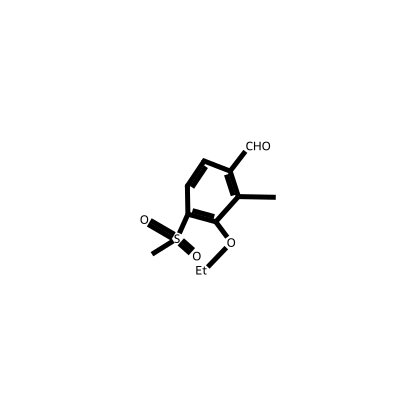 CCOc1c(S(C)(=O)=O)ccc(C=O)c1C